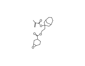 C=C(C)C(=O)OC1(CCOC(=O)C2CCC3OC3C2)CC2CCCC(C2)C1